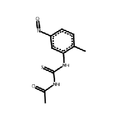 CC(=O)NC(=S)Nc1cc(N=O)ccc1C